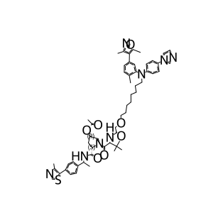 CC(=O)O[C@@H]1C[C@@H](C(=O)NC(C)c2ccc(-c3scnc3C)cc2)N(C(=O)C(NC(=O)COCCCCCCCCN(c2ccc(-n3ccnc3)cc2)c2cc(-c3c(C)noc3C)ccc2C)C(C)(C)C)C1